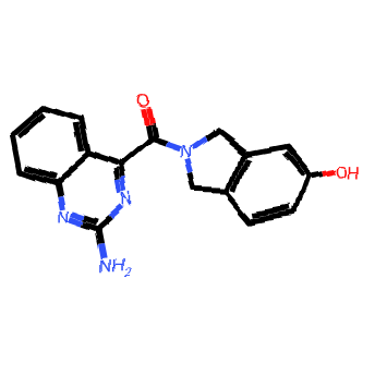 Nc1nc(C(=O)N2Cc3ccc(O)cc3C2)c2ccccc2n1